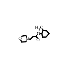 CC1CCCCC1OC(=O)CCN1CCOCC1